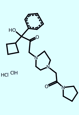 Cl.Cl.O=C(CN1CCN(CC(=O)C(O)(c2ccccc2)C2CCC2)CC1)N1CCCC1